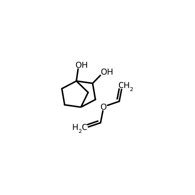 C=COC=C.OC1CC2CCC1(O)C2